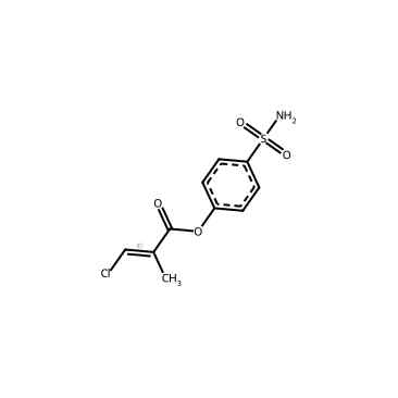 C/C(=C\Cl)C(=O)Oc1ccc(S(N)(=O)=O)cc1